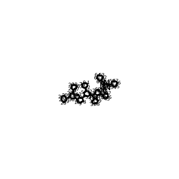 c1ccc(-c2cc(-c3cccc4c3Cc3c(-c5ccccc5)cc(-c5ccccc5)cc3-4)cc(-n3c4ccccc4c4c5c6ccccc6n(-c6nc(-c7ccccc7)nc(-c7ccccc7)n6)c5ccc43)c2)cc1